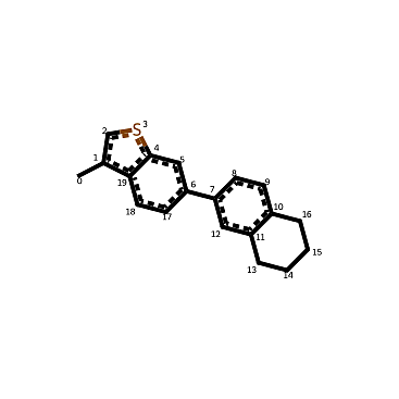 Cc1csc2cc(-c3ccc4c(c3)CCCC4)ccc12